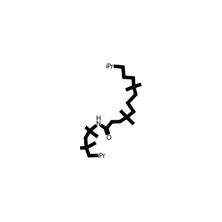 CC(C)CCCC(C)(C)CCCC(C)(C)CCC(=O)NC(C)(C)CC(C)(C)CC(C)C